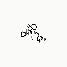 C=C(Nc1ccccc1)C1=C(NCc2ccnc(F)c2)CCCC1=O